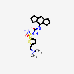 CN(C)Cc1ccc([SH](N)(=O)NC(=O)Nc2c3c(cc4c2CCC4)CCC3)s1